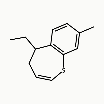 CCC1CC=CSc2cc(C)ccc21